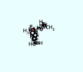 Cc1cnc(NC(=O)CC[C@H]2CC(F)(F)[C@@]3(C)CC[C@@H]4c5ccc(B(O)O)cc5CC[C@H]4[C@H]23)s1